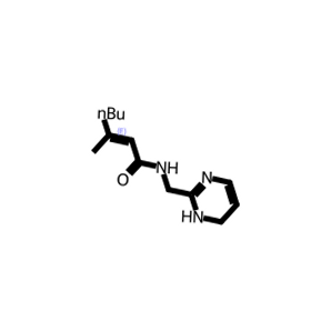 CCCC/C(C)=C/C(=O)NCC1=NC=CCN1